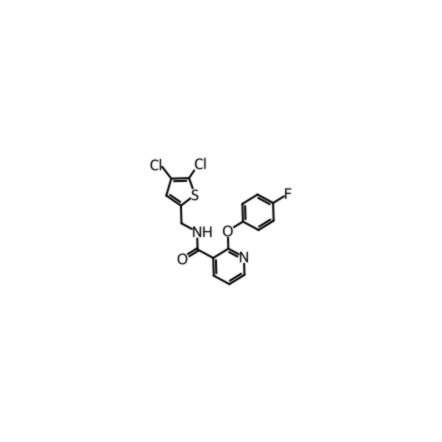 O=C(NCc1cc(Cl)c(Cl)s1)c1cccnc1Oc1ccc(F)cc1